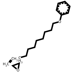 C1CO1.C=C.CCCCCCCCCOc1ccccc1